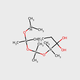 CCC(O)(O)[Si](C)(C)O[Si](C)(C)O[Si](C)(C)O[SiH](C)C